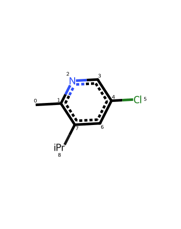 Cc1ncc(Cl)cc1C(C)C